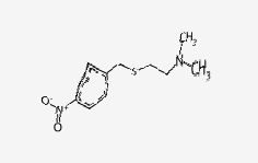 CN(C)CCSCc1ccc([N+](=O)[O-])cc1